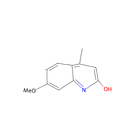 COc1[c]cc2c(C)cc(O)nc2c1